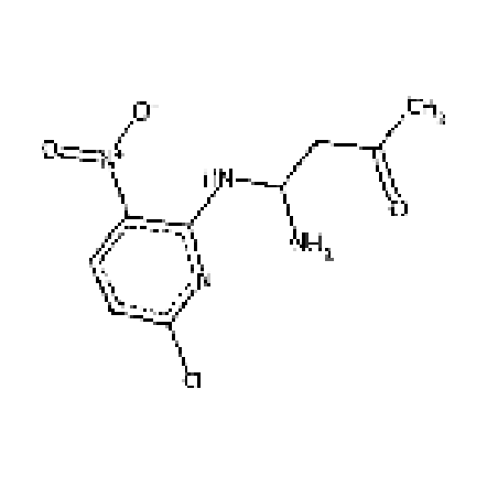 CC(=O)CC(N)Nc1nc(Cl)ccc1[N+](=O)[O-]